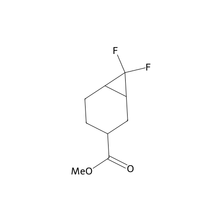 COC(=O)C1CCC2C(C1)C2(F)F